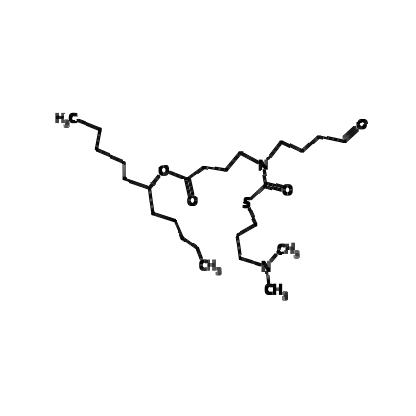 CCCCCC(CCCCC)OC(=O)CCCN(CCCC=O)C(=O)SCCCN(C)C